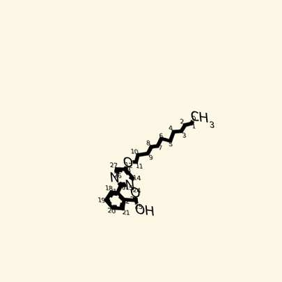 CCCCCCCCCCCCOc1cnc(-c2ccccc2C(=O)O)nc1